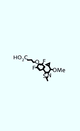 COC(c1nc(C)sc1-c1cc(F)c(OCCCC(=O)O)c(F)c1)C1CC1